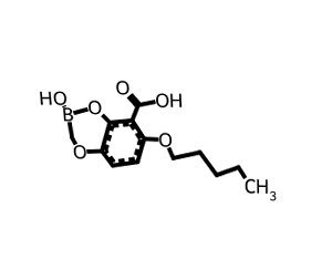 CCCCCOc1ccc2c(c1C(=O)O)OB(O)CO2